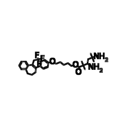 CC(C)(N)CC(N)C(C)(C)C(=O)OCCCCCOc1ccc(C2=C(CC(F)(F)F)c3ccccc3CCC2)cc1